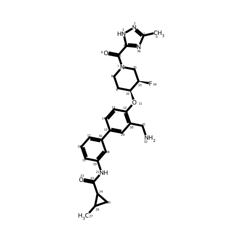 Cc1n[nH]c(C(=O)N2CC[C@H](Oc3ccc(-c4cccc(NC(=O)C5CC5C)c4)cc3CN)[C@H](F)C2)n1